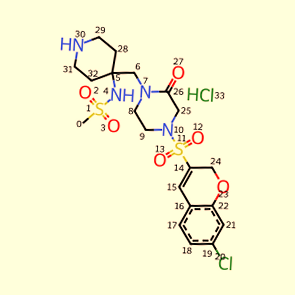 CS(=O)(=O)NC1(CN2CCN(S(=O)(=O)C3=Cc4ccc(Cl)cc4OC3)CC2=O)CCNCC1.Cl